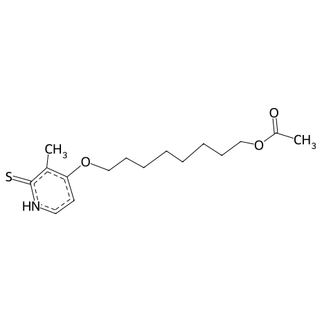 CC(=O)OCCCCCCCCOc1cc[nH]c(=S)c1C